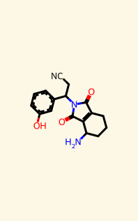 N#CCC(c1cccc(O)c1)N1C(=O)C2=C(C1=O)C(N)CCC2